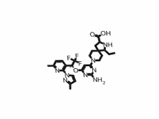 CCC1NC(C(=O)O)CC12CCN(c1cc(O[C@H](c3ccc(C)nc3-n3ccc(C)n3)C(F)(F)F)nc(N)n1)CC2